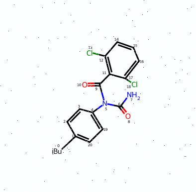 CCC(C)c1ccc(N(C(N)=O)C(=O)c2c(Cl)cccc2Cl)cc1